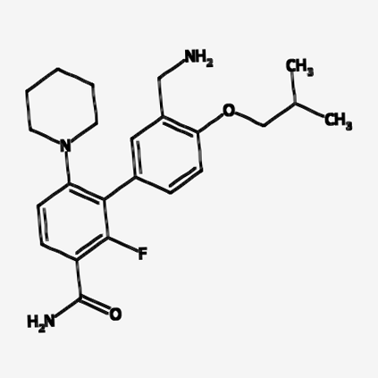 CC(C)COc1ccc(-c2c(N3CCCCC3)ccc(C(N)=O)c2F)cc1CN